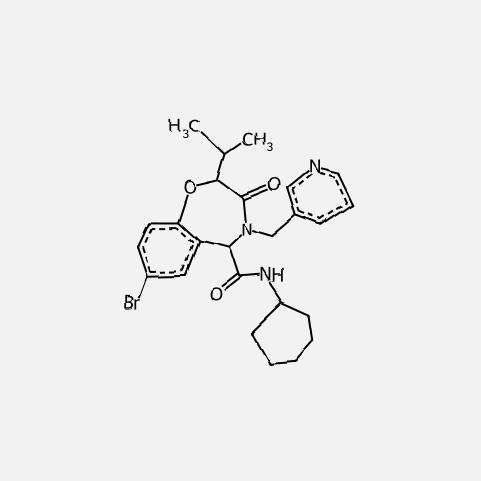 CC(C)C1Oc2ccc(Br)cc2C(C(=O)NC2CCCCC2)N(Cc2cccnc2)C1=O